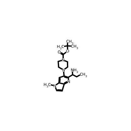 CCC(N)c1nc2ccn(C)c2cc1N1CCN(C(=O)OC(C)(C)C)CC1